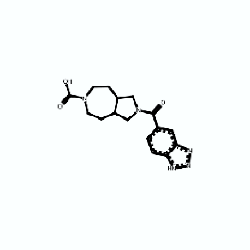 O=C(O)N1CCC2CN(C(=O)c3ccc4[nH]nnc4c3)CC2CC1